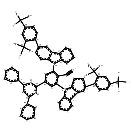 N#Cc1c(-n2c3ccccc3c3cc(-c4ccc(C(F)(F)F)cc4C(F)(F)F)ccc32)cc(-c2nc(-c3ccccc3)cc(-c3ccccc3)n2)cc1-n1c2ccccc2c2cc(-c3ccc(C(F)(F)F)cc3C(F)(F)F)ccc21